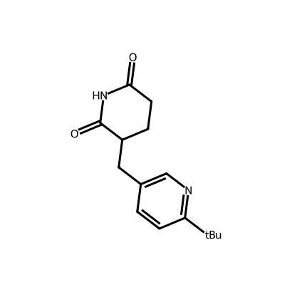 CC(C)(C)c1ccc(CC2CCC(=O)NC2=O)cn1